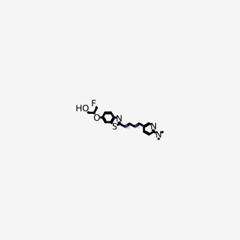 CN(C)c1ccc(/C=C/C=C/c2nc3ccc(OC(CO)CF)cc3s2)cn1